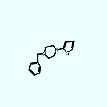 c1ccc(CN2CCN(c3cccs3)CC2)cc1